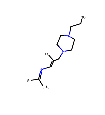 CC/C(=C\N=C(/C)C(C)C)CN1CCN(CCN=O)CC1